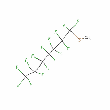 CSC(F)(F)C(F)(F)C(F)(F)C(F)(F)C(F)(F)C(F)(F)C(F)(F)F